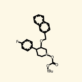 CC(C)(C)OC(=O)ON1CCC(c2ccc(F)cc2)C(OCc2ccc3ccccc3c2)C1